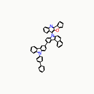 c1ccc(-c2ccc(-n3c4ccccc4c4cc(-c5ccc6c(c5)c5c7ccccc7ccc5n6-c5c6ccccc6nc6c5oc5ccccc56)ccc43)cc2)cc1